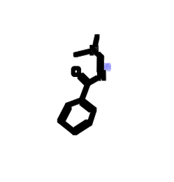 CN(C)/C=N\C(=O)c1ccccc1